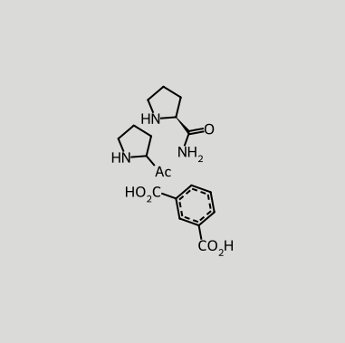 CC(=O)C1CCCN1.NC(=O)[C@@H]1CCCN1.O=C(O)c1cccc(C(=O)O)c1